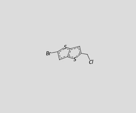 ClCc1cc2sc(Br)cc2s1